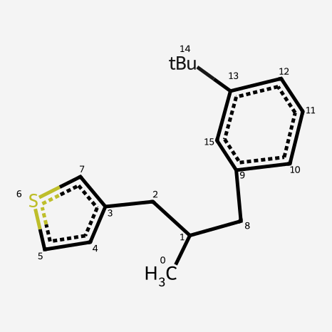 CC(Cc1ccsc1)Cc1cccc(C(C)(C)C)c1